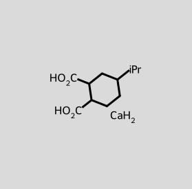 CC(C)C1CCC(C(=O)O)C(C(=O)O)C1.[CaH2]